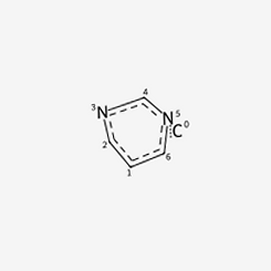 [C].c1cncnc1